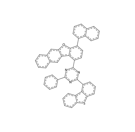 c1ccc(-c2nc(-c3cccc4sc5ccccc5c34)nc(-c3ccc(-c4cccc5ccccc45)c4oc5cc6ccccc6cc5c34)n2)cc1